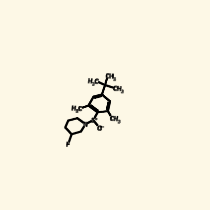 Cc1cc(C(C)(C)C)cc(C)c1[S+]([O-])N1CCCC(F)C1